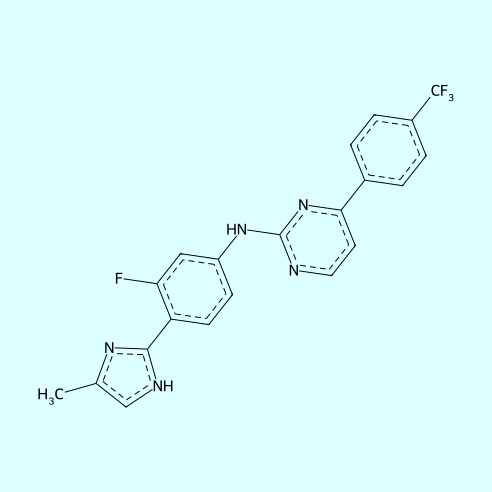 Cc1c[nH]c(-c2ccc(Nc3nccc(-c4ccc(C(F)(F)F)cc4)n3)cc2F)n1